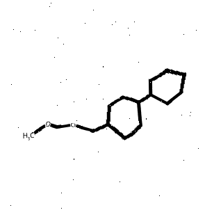 COCOCC1CCC(C2CCCCC2)CC1